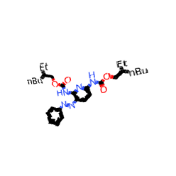 CCCCC(CC)COC(=O)Nc1ccc(/N=N/c2ccccc2)c(NC(=O)OCC(CC)CCCC)n1